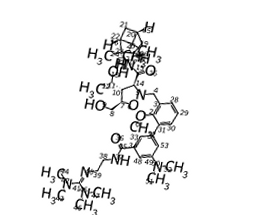 COc1c(CN2O[C@@H](CO)[C@H]([C@H](C)O)[C@H]2C(=O)N[C@H]2C[C@H]3C[C@@H]([C@@H]2C)C3(C)C)cccc1-c1cc(C(=O)NCCN=C(N(C)C)N(C)C)cc(N(C)C)c1